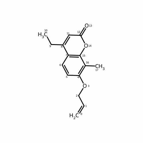 C=CCOc1ccc2c(CC)cc(=O)oc2c1C